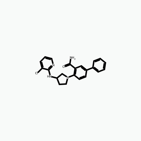 NC(=O)c1cc(-c2ccccc2)ccc1N1CCC(Nc2ncccc2Cl)C1